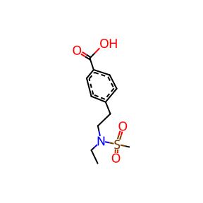 CCN(CCc1ccc(C(=O)O)cc1)S(C)(=O)=O